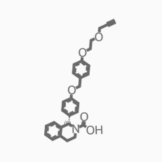 C#CCOCCOc1ccc(COc2ccc([C@H]3c4ccccc4CCN3C(=O)O)cc2)cc1